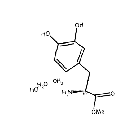 COC(=O)[C@@H](N)Cc1ccc(O)c(O)c1.Cl.O.O